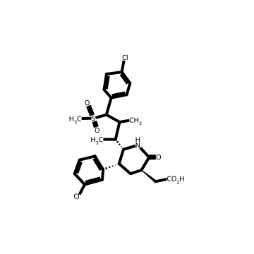 CC(C(C)[C@@H]1NC(=O)[C@@H](CC(=O)O)C[C@@H]1c1cccc(Cl)c1)C(c1ccc(Cl)cc1)S(C)(=O)=O